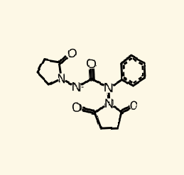 O=C1CCCN1[N]C(=O)N(c1ccccc1)N1C(=O)CCC1=O